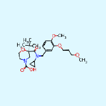 COCCCOc1cc(CN(C(=O)[C@@]2(C(C)(C)C)CN(C(=O)O)CCO2)C2CC2)ccc1OC